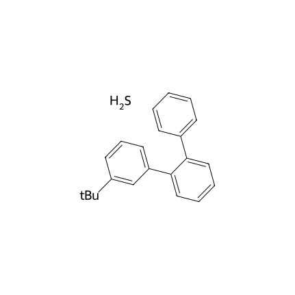 CC(C)(C)c1cccc(-c2ccccc2-c2ccccc2)c1.S